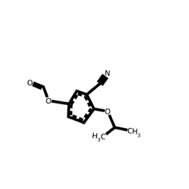 CC(C)Oc1ccc(OC=O)cc1C#N